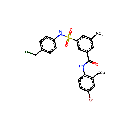 O=C(Nc1ccc(Br)cc1C(=O)O)c1cc([N+](=O)[O-])cc(S(=O)(=O)Nc2ccc(CCl)cc2)c1